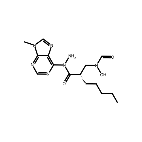 CCCCC[C@@H](CN(O)C=O)C(=O)N(N)c1ncnc2c1ncn2C